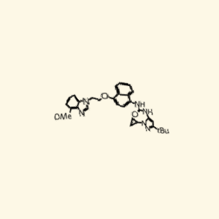 COc1cccc2c1ncn2CCOc1ccc(NC(=O)Nc2cc(C(C)(C)C)nn2C2CC2)c2ccccc12